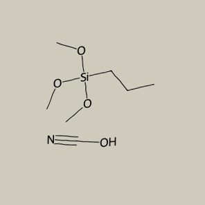 CCC[Si](OC)(OC)OC.N#CO